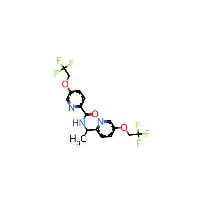 CC(NC(=O)c1ccc(OCC(F)(F)F)cn1)c1ccc(OCC(F)(F)F)cn1